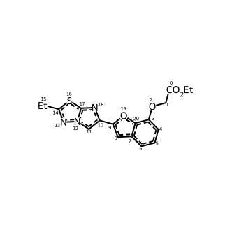 CCOC(=O)COc1cccc2cc(-c3cn4nc(CC)sc4n3)oc12